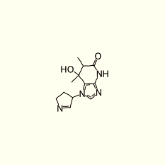 CC1C(=O)Nc2ncn(C3C=NCC3)c2C1(C)O